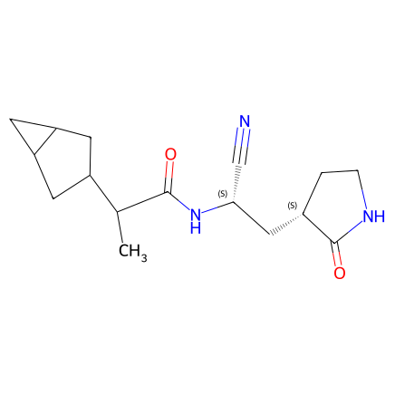 CC(C(=O)N[C@H](C#N)C[C@@H]1CCNC1=O)C1CC2CC2C1